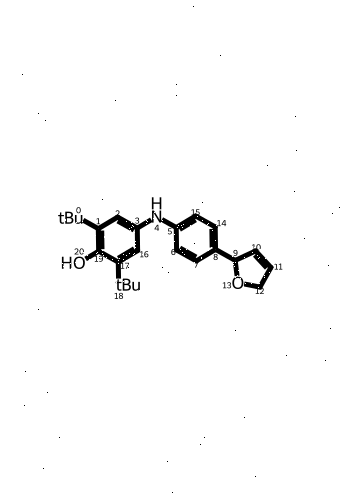 CC(C)(C)c1cc(Nc2ccc(C3C=CCO3)cc2)cc(C(C)(C)C)c1O